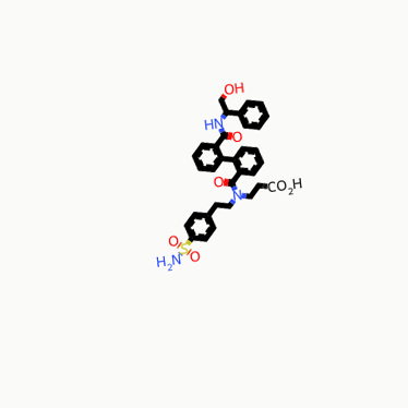 NS(=O)(=O)c1ccc(CCN(CCC(=O)O)C(=O)c2ccccc2-c2ccccc2C(=O)NC(CO)c2ccccc2)cc1